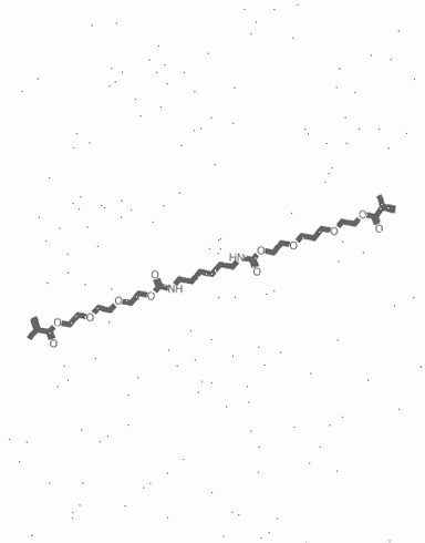 C=C(C)C(=O)OCCOCCCOCCOC(=O)NCCCCCCNC(=O)OCCOCCOCCOC(=O)C(=C)C